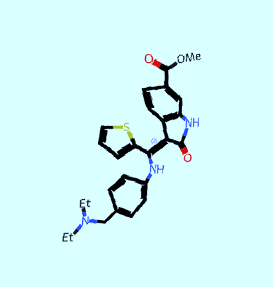 CCN(CC)Cc1ccc(N/C(=C2\C(=O)Nc3cc(C(=O)OC)ccc32)c2cccs2)cc1